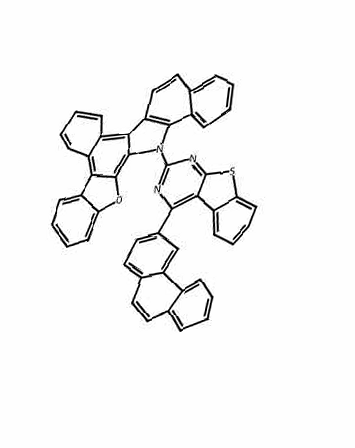 c1ccc2c(c1)ccc1ccc(-c3nc(-n4c5c6ccccc6ccc5c5c6ccccc6c6c7ccccc7oc6c54)nc4sc5ccccc5c34)cc12